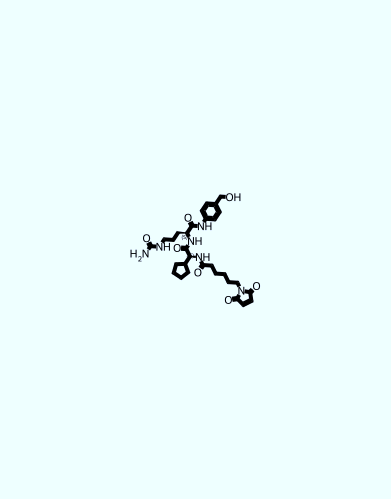 NC(=O)NCCC[C@H](NC(=O)[C@@H](NC(=O)CCCCCN1C(=O)C=CC1=O)C1CCCC1)C(=O)Nc1ccc(CO)cc1